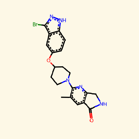 Cc1cc2c(nc1N1CCC(Oc3ccc4[nH]nc(Br)c4c3)CC1)CNC2=O